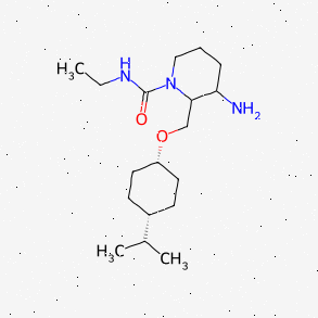 CCNC(=O)N1CCCC(N)C1CO[C@H]1CC[C@@H](C(C)C)CC1